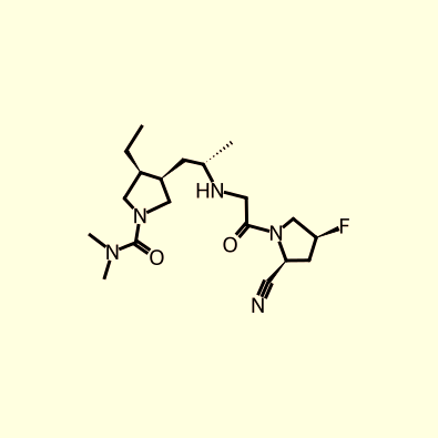 CC[C@@H]1CN(C(=O)N(C)C)C[C@@H]1C[C@H](C)NCC(=O)N1C[C@@H](F)C[C@H]1C#N